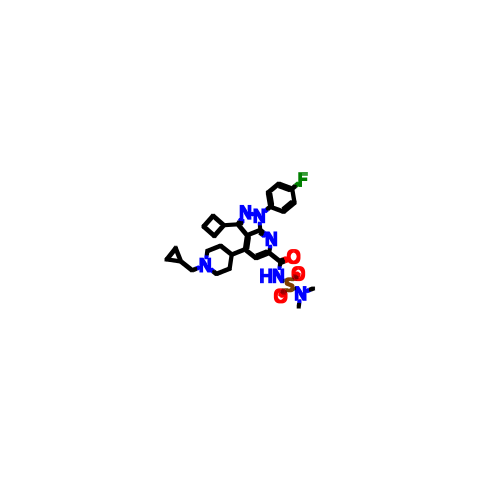 CN(C)S(=O)(=O)NC(=O)c1cc(C2CCN(CC3CC3)CC2)c2c(C3CCC3)nn(-c3ccc(F)cc3)c2n1